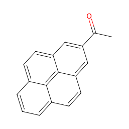 CC(=O)c1cc2ccc3cccc4ccc(c1)c2c34